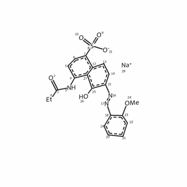 CCC(=O)Nc1ccc(S(=O)(=O)[O-])c2ccc(N=Nc3ccccc3OC)c(O)c12.[Na+]